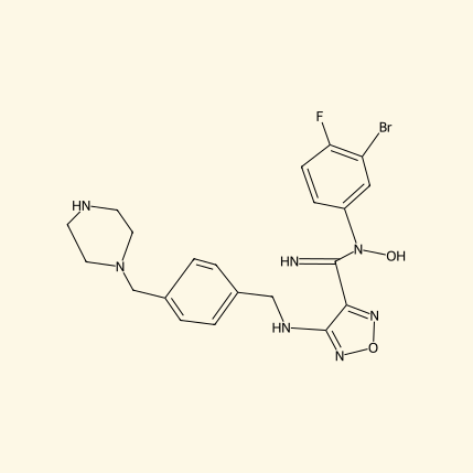 N=C(c1nonc1NCc1ccc(CN2CCNCC2)cc1)N(O)c1ccc(F)c(Br)c1